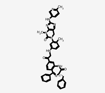 Cc1ccc(Nc2ncc3c(n2)N(C)C(=O)N(c2cc(NCC(=O)c4ccc5c(c4)NC(=O)[C@H](Cc4ccccc4)N=C5c4ccccc4)ccc2C)C3)cn1